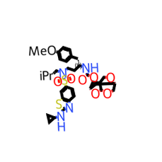 COc1ccc(C[C@@H](CCN(CC(C)C)S(=O)(=O)c2ccc3nc(NC4CC4)sc3c2)NC(=O)OC2C3COC4OC2CC4CO3)cc1